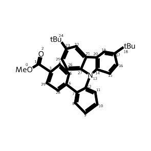 COC(=O)c1ccc(-c2ccccc2-n2c3ccc(C(C)(C)C)cc3c3cc(C(C)(C)C)ccc32)cc1